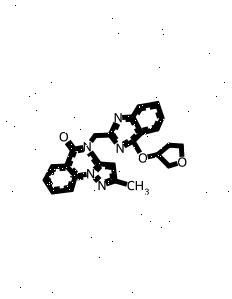 Cc1cc2n(Cc3nc(OC4CCOC4)c4ccccc4n3)c(=O)c3ccccc3n2n1